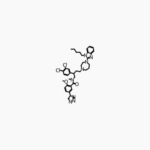 CCCCCn1c(N2CCCN(CCC(CN(C)C(=O)c3cc(C4C=NN=N4)ccc3OC)c3ccc(Cl)c(Cl)c3)CC2)nc2ccccc21